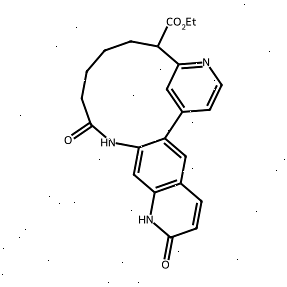 CCOC(=O)C1CCCCC(=O)Nc2cc3[nH]c(=O)ccc3cc2-c2ccnc1c2